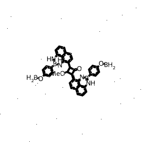 BOc1ccc(B2N=c3/c(=C4\C(=O)C(c5ccc6cccc7c6c5NB(c5ccc(OB)cc5)N7)C4OC)ccc4cccc(c34)N2)cc1